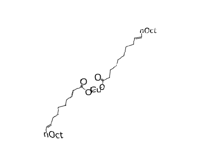 CCCCCCCC/C=C/CCCCCCCC(=O)[O][Cu][O]C(=O)CCCCCCC/C=C/CCCCCCCC